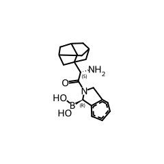 N[C@H](C(=O)N1Cc2ccccc2[C@H]1B(O)O)C12CC3CC(CC(C3)C1)C2